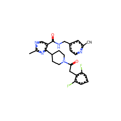 Cc1ncc(C(=O)NCc2ccnc(C#N)c2)c(C2CCN(C(=O)Cc3c(F)cccc3F)CC2)n1